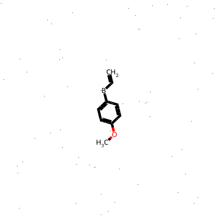 C=C[B]c1ccc(OC)cc1